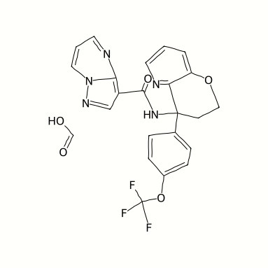 O=C(NC1(c2ccc(OC(F)(F)F)cc2)CCOc2cccnc21)c1cnn2cccnc12.O=CO